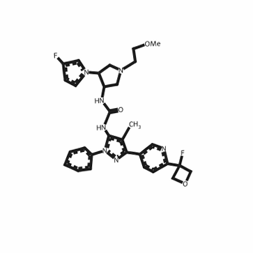 COCCN1CC(NC(=O)Nc2c(C)c(-c3ccc(C4(F)COC4)nc3)nn2-c2ccccc2)C(n2ccc(F)c2)C1